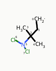 [CH2]CC(C)(C)N(Cl)Cl